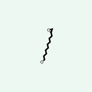 [O]CCCCCCCCCC1CO1